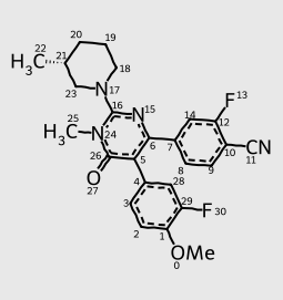 COc1ccc(-c2c(-c3ccc(C#N)c(F)c3)nc(N3CCC[C@@H](C)C3)n(C)c2=O)cc1F